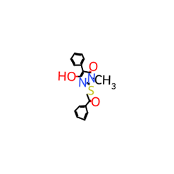 Cn1c(SCC(=O)c2ccccc2)nc(O)c(-c2ccccc2)c1=O